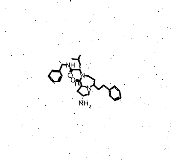 CC(C)C[C@H](C(=O)N[C@@H](C)c1ccccc1)N1CCC(CCc2ccccc2)N2C[C@H](N)C[C@H]2C1=O